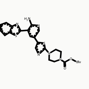 CC(C)(C)OC(=O)N1CCN(c2ncc(-c3cnc(N)c(-c4nc5ccccc5s4)c3)s2)CC1